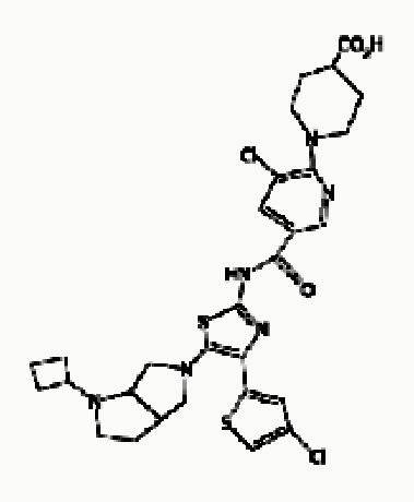 O=C(Nc1nc(-c2cc(Cl)cs2)c(N2CC3CCN(C4CCC4)C3C2)s1)c1cnc(N2CCC(C(=O)O)CC2)c(Cl)c1